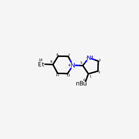 CCCCC1CC[N]C1N1CCC(CC)CC1